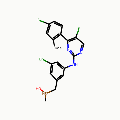 COc1cc(F)ccc1-c1nc(Nc2cc(Br)cc(C[SH](C)O)c2)ncc1F